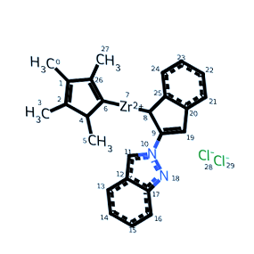 CC1=C(C)C(C)[C]([Zr+2][CH]2C(n3cc4ccccc4n3)=Cc3ccccc32)=C1C.[Cl-].[Cl-]